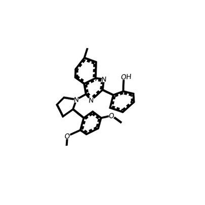 COc1ccc(OC)c(C2CCCN2c2nc(-c3ccccc3O)nc3cc(C)ccc23)c1